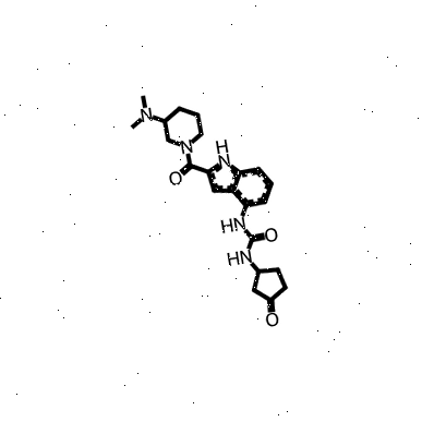 CN(C)C1CCCN(C(=O)c2cc3c(NC(=O)NC4CCC(=O)C4)cccc3[nH]2)C1